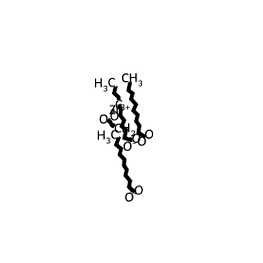 C=CC(=O)[O][Zr+3].CCCCCCCCCCCC(=O)[O-].CCCCCCCCCCCC(=O)[O-].CCCCCCCCCCCC(=O)[O-]